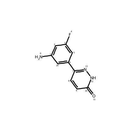 Nc1cc(F)cc(-c2ccc(=O)[nH]n2)c1